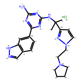 CC(C)(Nc1nc(N)nc(-c2ccc3cn[nH]c3c2)n1)c1ccn(CCN2CCCC2)n1.Cl